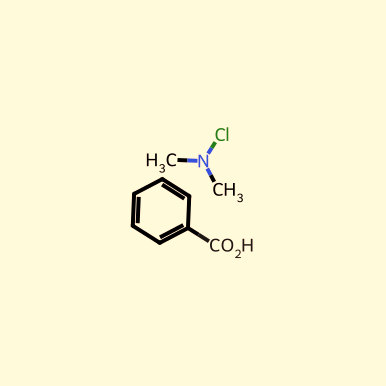 CN(C)Cl.O=C(O)c1ccccc1